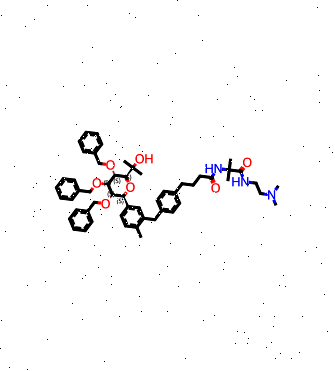 Cc1ccc([C@@H]2O[C@H](C(C)(C)O)[C@@H](OCc3ccccc3)[C@H](OCc3ccccc3)[C@H]2OCc2ccccc2)cc1Cc1ccc(CCCC(=O)NC(C)(C)C(=O)NCCN(C)C)cc1